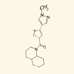 Cn1cc(C2=CC(C(=O)N3CCCC4CCCCC43)CS2)cn1